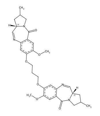 COc1cc2c(cc1OCCCOc1cc3c(cc1OC)C(=O)N1CC(C)C[C@H]1C=N3)N=C[C@@H]1CC(C)CN1C2=O